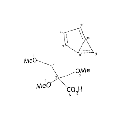 COCC(OC)(OC)C(=O)O.c1cc2cc-2c1